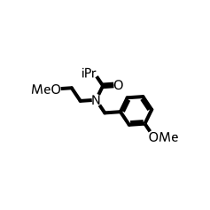 COCCN(Cc1cccc(OC)c1)C(=O)C(C)C